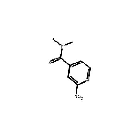 CN(C)C(=S)c1cccc([N+](=O)[O-])c1